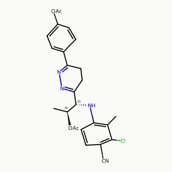 CC(=O)Oc1ccc(C2=NN=C([C@H](Nc3ccc(C#N)c(Cl)c3C)[C@H](C)OC(C)=O)CC2)cc1